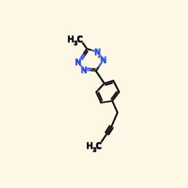 CC#CCc1ccc(-c2nnc(C)nn2)cc1